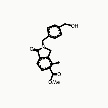 COC(=O)c1ccc2c(c1F)CN(Cc1ccc(CO)cc1)C2=O